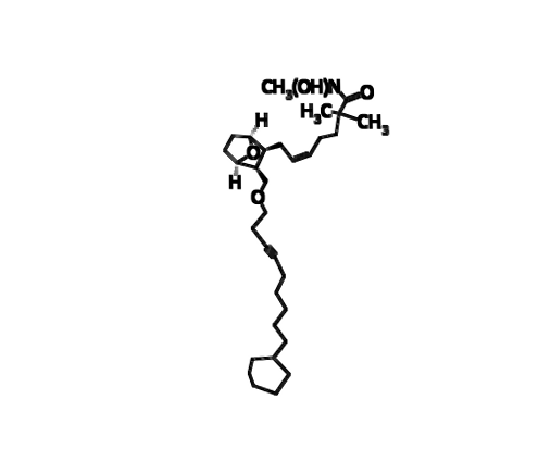 CN(O)C(=O)C(C)(C)CC/C=C\C[C@H]1[C@@H](COCCC#CCCCCCC2CCCCC2)[C@H]2CC[C@@H]1O2